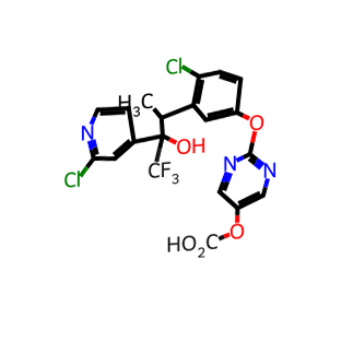 CC(c1cc(Oc2ncc(OC(=O)O)cn2)ccc1Cl)C(O)(c1ccnc(Cl)c1)C(F)(F)F